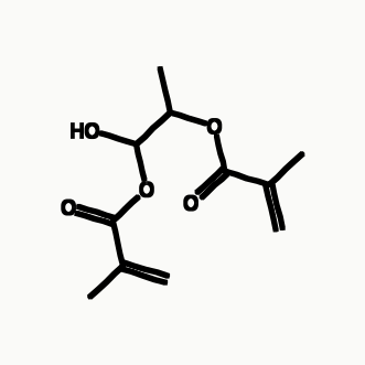 C=C(C)C(=O)OC(C)C(O)OC(=O)C(=C)C